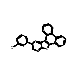 Clc1cccc(-c2cnc3sc4c5ccccc5c5ccccc5c4c3n2)c1